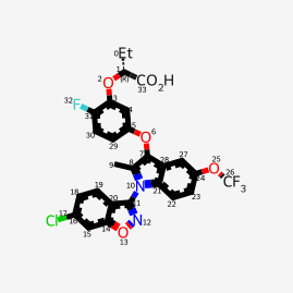 CC[C@@H](Oc1cc(Oc2c(C)n(-c3noc4cc(Cl)ccc34)c3ccc(OC(F)(F)F)cc23)ccc1F)C(=O)O